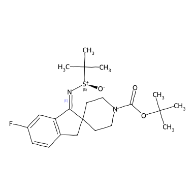 CC(C)(C)OC(=O)N1CCC2(CC1)Cc1ccc(F)cc1/C2=N/[S@+]([O-])C(C)(C)C